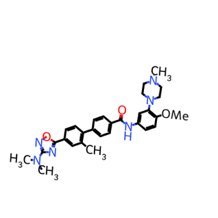 COc1ccc(NC(=O)c2ccc(-c3ccc(-c4nc(N(C)C)no4)cc3C)cc2)cc1N1CCN(C)CC1